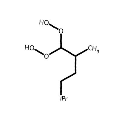 CC(C)CCC(C)C(OO)OO